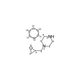 C1CN(CC2CO2)CCN1.c1ccccc1